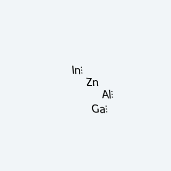 [Al].[Ga].[In].[Zn]